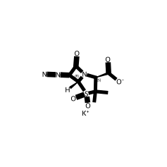 CC1(C)[C@H](C(=O)[O-])N2C(=O)C(=[N+]=[N-])[C@H]2S1(=O)=O.[K+]